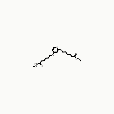 CONC(=O)CCCCCOc1ccnc(OCCCCCC(=O)NOC)c1